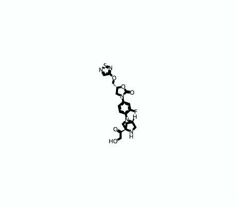 O=C1O[C@@H](COc2cnsn2)CN1c1ccc(N2C[C@]3(C(=O)CO)C[C@H]2CN3)c(F)c1